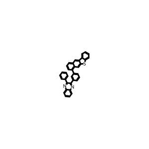 c1ccc(-c2nc3ccccc3nc2-c2cccc(-c3cccc4cc5c(cc34)sc3ccccc35)c2)cc1